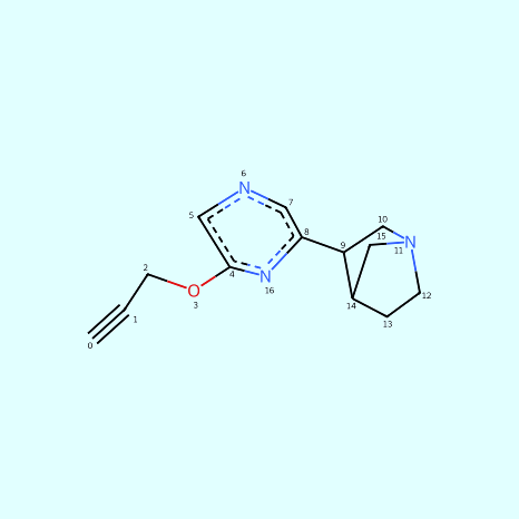 C#CCOc1cncc(C2CN3CCC2C3)n1